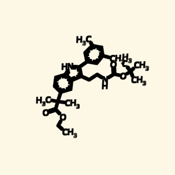 CCOC(=O)C(C)(C)c1ccc2[nH]c(-c3cc(C)cc(C)c3)c(CCNC(=O)OC(C)(C)C)c2c1